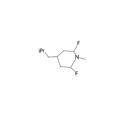 CC(C)CC1CC(F)N(C)C(F)C1